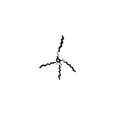 CCCCCCCCSc1cc(SCCCCCCCC)c(SCCCCCCCC)c(SCCCCCCCC)c1